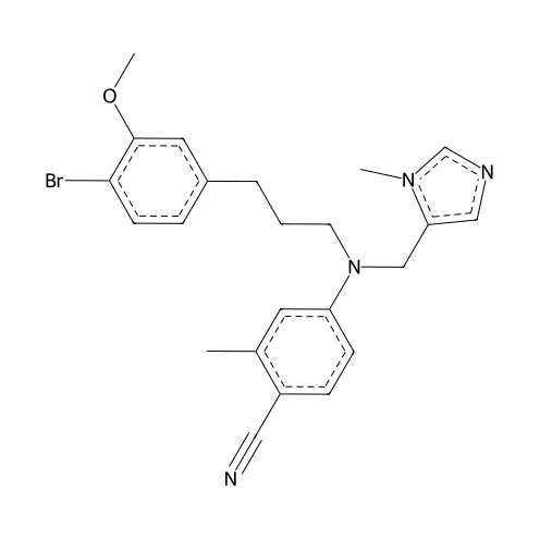 COc1cc(CCCN(Cc2cncn2C)c2ccc(C#N)c(C)c2)ccc1Br